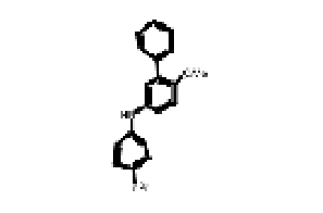 CCCc1ccc(Nc2ccc(OC)c(-c3ccccc3)c2)cc1